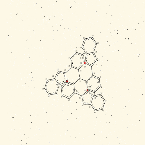 c1cn[c]([Ir]([c]2ncccc2-c2cc3ccccc3s2)[c]2ncccc2-c2cc3ccccc3s2)c(-c2cc3ccccc3s2)c1